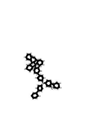 c1ccc(-c2ccc(N(c3ccc(-c4ccc5c(c4)-c4ccccc4C54c5ccccc5-c5c4ccc4ccccc54)cc3)c3ccc4c(c3)oc3ccccc34)cc2)cc1